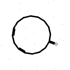 O=C1CCCC=CCC=CCCCCCCC1